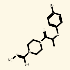 CC(Oc1ccc(Br)cc1)C(=O)N1CCN(C(S)=NC#N)CC1